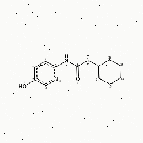 O=C(Nc1ccc(O)cn1)NC1CCCCC1